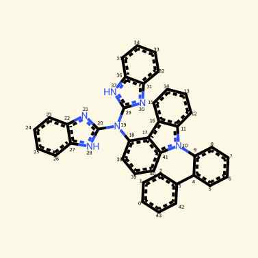 c1ccc(-c2ccccc2-n2c3ccccc3c3c(N(c4nc5ccccc5[nH]4)c4nc5ccccc5[nH]4)cccc32)cc1